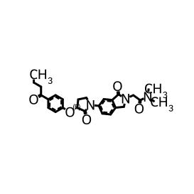 CCCC(=O)c1ccc(O[C@@H]2CCN(c3ccc4c(c3)C(=O)N(CC(=O)N(C)C)C4)C2=O)cc1